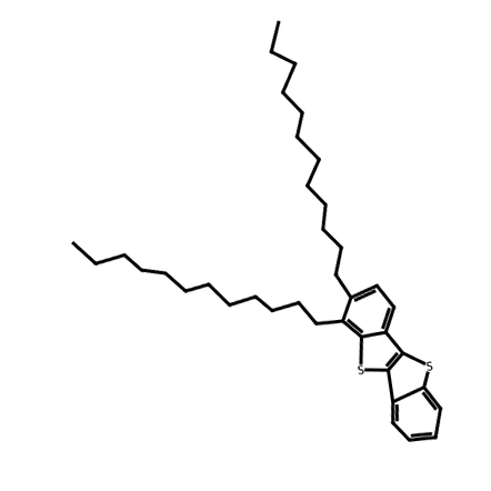 CCCCCCCCCCCCc1ccc2c(sc3c4ccccc4sc23)c1CCCCCCCCCCCC